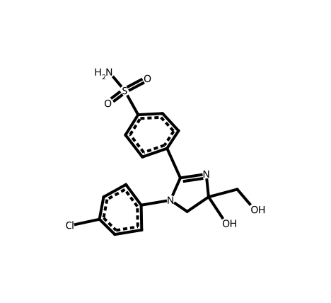 NS(=O)(=O)c1ccc(C2=NC(O)(CO)CN2c2ccc(Cl)cc2)cc1